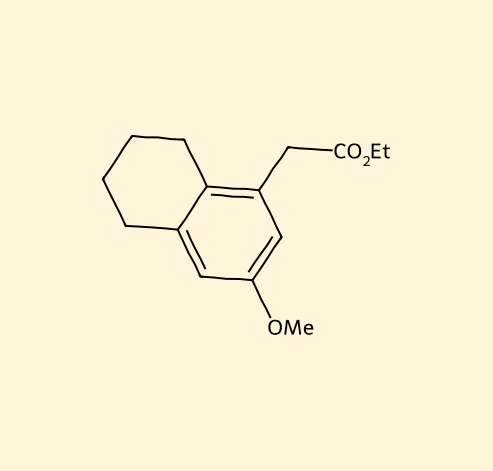 CCOC(=O)Cc1cc(OC)cc2c1CCCC2